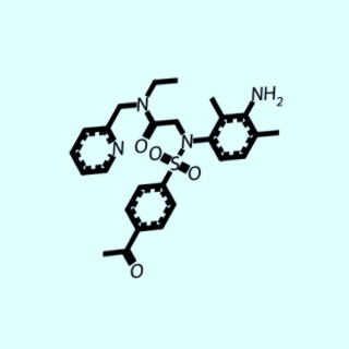 CCN(Cc1ccccn1)C(=O)CN(c1ccc(C)c(N)c1C)S(=O)(=O)c1ccc(C(C)=O)cc1